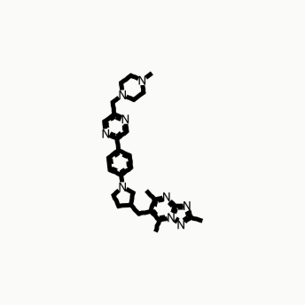 Cc1nc2nc(C)c(CC3CCN(c4ccc(-c5cnc(CN6CCN(C)CC6)cn5)cc4)C3)c(C)n2n1